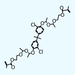 C=C(C)C(=O)OCCOC(C)OC(C)Oc1ccc(C(C)(C)c2ccc(OC(C)OC(C)OCCOC(=O)C(=C)C)c(Cl)c2)cc1Cl